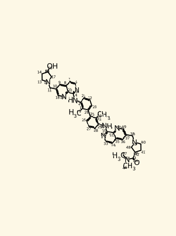 Cc1c(Nc2nccc3cc(CN4CC[C@@H](O)C4)cnc23)cccc1-c1cccc(Nc2nccc3cc(CN4CC[C@@H](C(=O)N(C)C)C4)cnc23)c1C